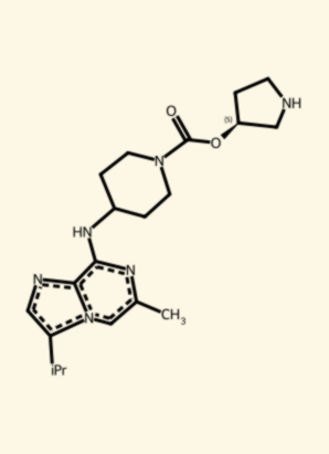 Cc1cn2c(C(C)C)cnc2c(NC2CCN(C(=O)O[C@H]3CCNC3)CC2)n1